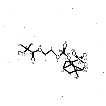 CCC(C)(C)C(=O)OCCOC(=O)OC1C2CC3C(C)(C2)C1OS3(=O)=O